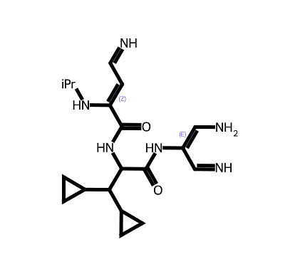 CC(C)N/C(=C\C=N)C(=O)NC(C(=O)N/C(C=N)=C/N)C(C1CC1)C1CC1